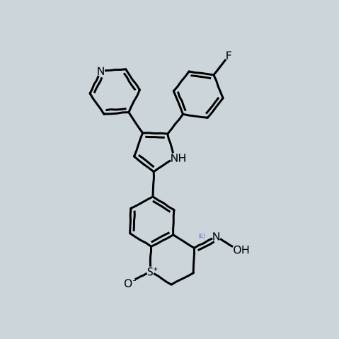 [O-][S+]1CC/C(=N\O)c2cc(-c3cc(-c4ccncc4)c(-c4ccc(F)cc4)[nH]3)ccc21